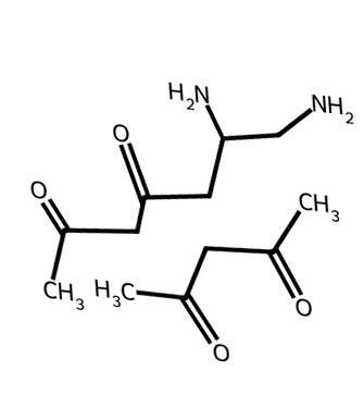 CC(=O)CC(=O)CC(N)CN.CC(=O)CC(C)=O